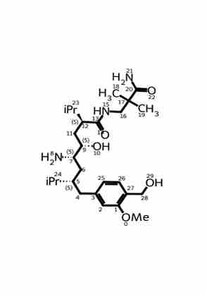 COc1cc(C[C@@H](C[C@H](N)[C@@H](O)C[C@H](C(=O)NCC(C)(C)C(N)=O)C(C)C)C(C)C)ccc1CO